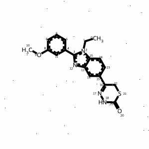 CCn1c(-c2cccc(OC)c2)nc2cc(C3=NNC(=O)SC3)ccc21